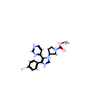 CC(C)(C)OC(=O)N1CCC(n2cnc(-c3ccc(F)cc3)c2-c2ccncn2)C1